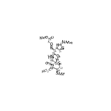 CNc1nc(C(=NOCC(=O)OC)C(=O)NC2C(=O)N3C(C(=O)O)=C(SC)CS[C@@H]23)cs1